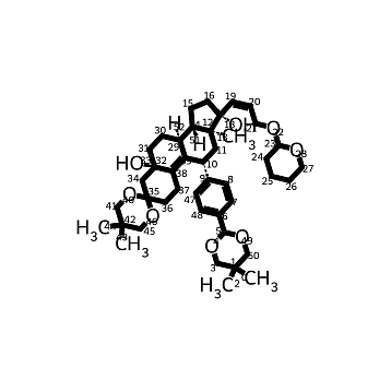 CC1(C)COC(c2ccc([C@H]3C[C@@]4(C)[C@@H](CC[C@@]4(O)/C=C\COC4CCCCO4)[C@@H]4CC[C@@]5(O)CC6(CCC5=C43)OCC(C)(C)CO6)cc2)OC1